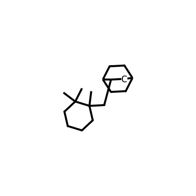 CC1(C)CCCCC1(C)CC1CC2CCC1CC2